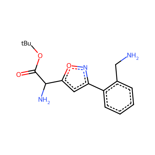 CC(C)(C)OC(=O)C(N)c1cc(-c2ccccc2CN)no1